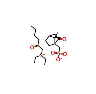 CC1(C)C2CCC1(CS(=O)(=O)[O-])C(=O)C2.CCCCC(=O)C[S+](CC)CC